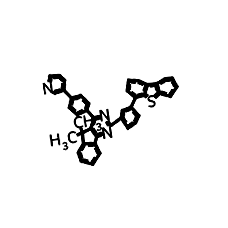 CC1(C)c2ccccc2-c2nc(-c3cccc(-c4cccc5c4sc4ccccc45)c3)nc(-c3ccc(-c4cccnc4)cc3)c21